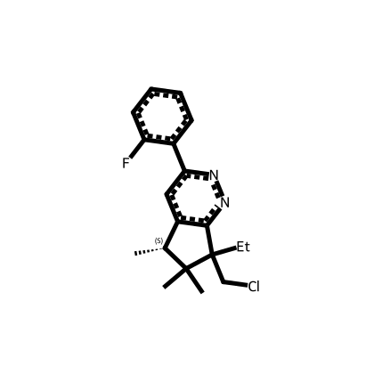 CCC1(CCl)c2nnc(-c3ccccc3F)cc2[C@@H](C)C1(C)C